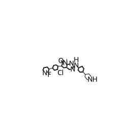 Cn1c(=O)c(-c2ccc(-c3cccnc3F)cc2Cl)cc2cnc(Nc3ccc(C4CCNCC4)cc3)nc21